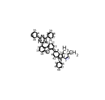 C=C/C=C\c1c(C)c2cc(-c3cccc4c3oc3cccc(-c5nc(-c6ccccc6)nc(-c6ccccc6)n5)c34)ccc2n1-c1ccccc1